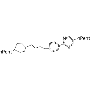 CCCCCc1cnc(-c2ccc(CCCCC3CCC(CCCCC)CC3)cc2)nc1